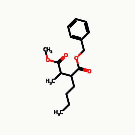 CCCCC(C(=O)OCc1ccccc1)C(C)C(=O)OC